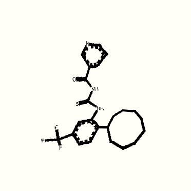 O=C(NC(=S)Nc1cc(C(F)(F)F)ccc1C1CCCCCCCC1)c1cccnc1